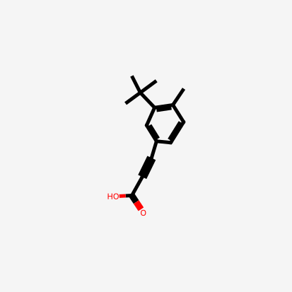 Cc1ccc(C#CC(=O)O)cc1C(C)(C)C